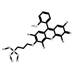 CCO[Si](CCCOc1c(Br)cc2c(-c3ccccc3C(=O)O)c3cc(Br)c(=O)c(Br)c-3oc2c1Br)(OCC)OCC